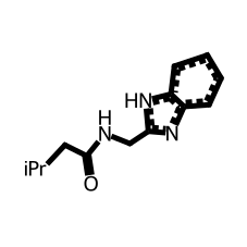 CC(C)CC(=O)NCc1nc2ccccc2[nH]1